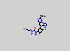 CNc1ncc2c(n1)N1CCN=C1C(c1cc(NC(=O)NCCC(C)(C)C)c(F)cc1Br)=C2